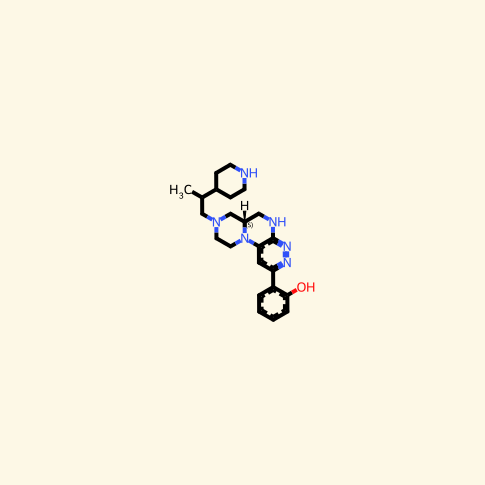 CC(CN1CCN2c3cc(-c4ccccc4O)nnc3NC[C@H]2C1)C1CCNCC1